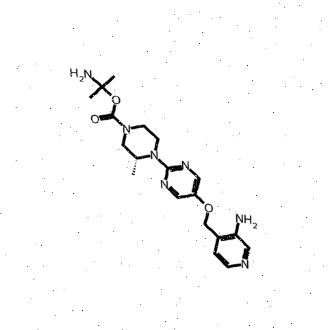 C[C@@H]1CN(C(=O)OC(C)(C)N)CCN1c1ncc(OCc2ccncc2N)cn1